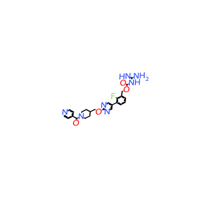 N=C(N)NC(=O)OCc1cccc(-c2cnc(OCC3CCN(C(=O)c4ccncc4)CC3)nc2)c1F